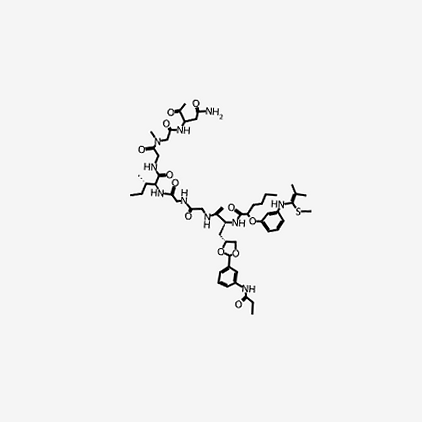 C=C(NCC(=O)NCC(=O)N[C@H](C(=O)NCC(=O)N(C)CC(=O)NC(CC(N)=O)C(C)=O)[C@@H](C)CC)[C@H](C[C@@H]1COC(c2cccc(NC(=O)CC)c2)O1)NC(=O)C(CCCC)Oc1cccc(NC(SC)=C(C)C)c1